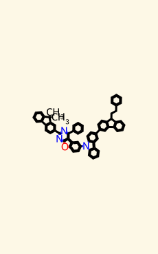 CC1(C)c2ccccc2-c2ccc(-c3nc(-c4ccccc4)c4c(n3)oc3ccc(-n5c6ccccc6c6cc(-c7ccc8c(c7)-c7ccccc7C8CCc7ccccc7)ccc65)cc34)cc21